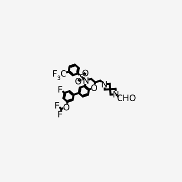 O=CN1CC2(C1)CN(CC1CN(S(=O)(=O)c3cccc(C(F)(F)F)c3)c3cc(-c4cc(F)cc(OC(F)F)c4)ccc3O1)C2